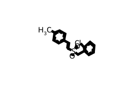 Cc1ccc(C=CS(=O)(=O)Cc2ccccc2Cl)cc1